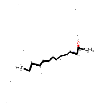 CCCCCCCCCC/C=C/C(C)=O